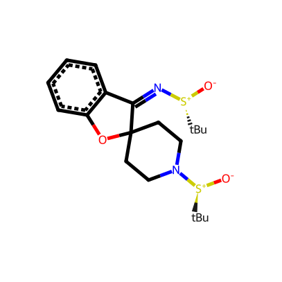 CC(C)(C)[S@+]([O-])N1CCC2(CC1)Oc1ccccc1/C2=N/[S@+]([O-])C(C)(C)C